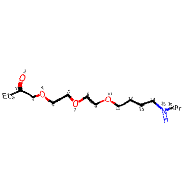 CCC(=O)COCCOCCOCCCCNC(C)C